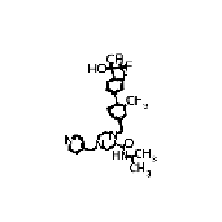 Cc1cc(CN2CCN(Cc3ccncc3)C[C@@H]2C(=O)NC(C)C)ccc1-c1ccc(C(C)(O)C(F)(F)F)cc1